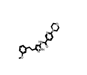 COc1cccc(CCc2cc(NC(=O)c3ccc(N4CCOCC4)nc3)[nH]n2)c1